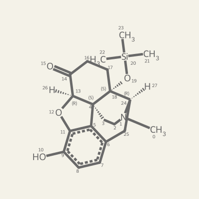 CN1CC[C@]23c4c5ccc(O)c4O[C@H]2C(=O)CC[C@@]3(O[Si](C)(C)C)[C@H]1C5